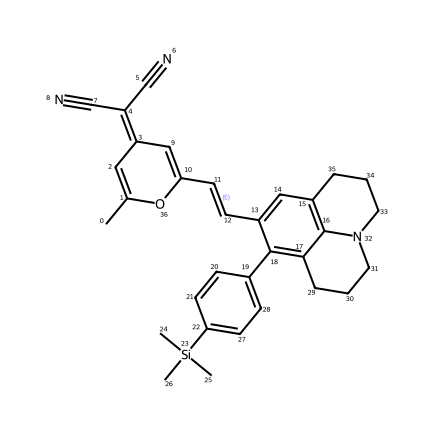 CC1=CC(=C(C#N)C#N)C=C(/C=C/c2cc3c4c(c2-c2ccc([Si](C)(C)C)cc2)CCCN4CCC3)O1